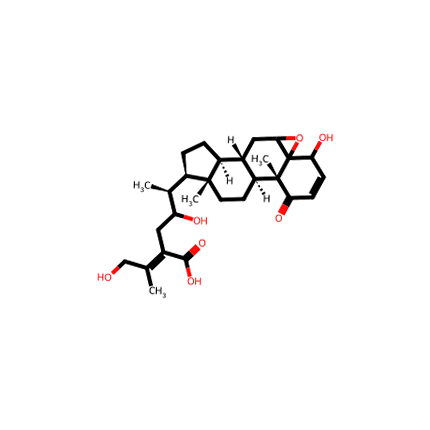 CC(CO)=C(CC(O)[C@@H](C)[C@H]1CC[C@H]2[C@@H]3CC4OC45C(O)C=CC(=O)[C@]5(C)[C@H]3CC[C@]12C)C(=O)O